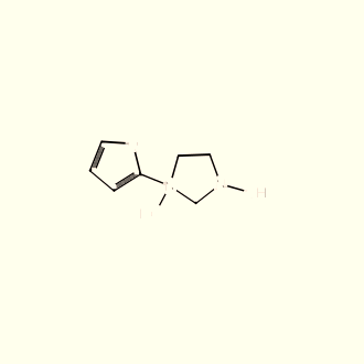 CN1CC[N+](C)(c2ccco2)C1